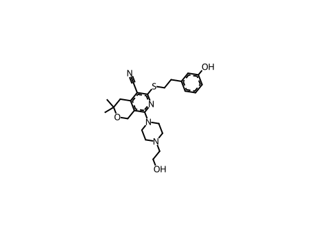 CC1(C)Cc2c(C#N)c(SCCc3cccc(O)c3)nc(N3CCN(CCO)CC3)c2CO1